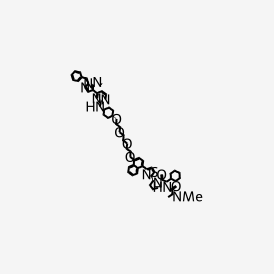 CN[C@@H](C)C(=O)NC(C(=O)N1CCC[C@H]1c1nc(-c2ccc(OCCOCCOCCO[C@H]3CC[C@H](Nc4nccc(-c5cnn(Cc6ccccc6)c5N(C)C)n4)CC3)c3ccccc23)cs1)C1CCCCC1